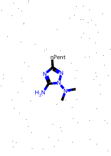 CCCCCc1nc(N)n(N(C)C)n1